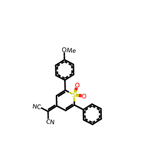 COc1ccc(C2=CC(=C(C#N)C#N)C=C(c3ccccc3)S2(=O)=O)cc1